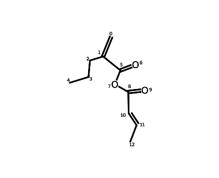 C=C(CCC)C(=O)OC(=O)C=CC